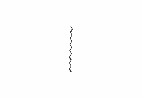 C=CCCC=CCCCCCCCC=CC